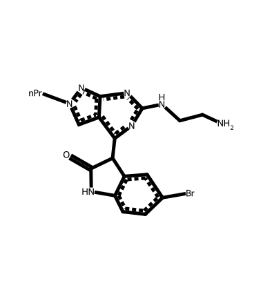 CCCn1cc2c(C3C(=O)Nc4ccc(Br)cc43)nc(NCCN)nc2n1